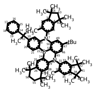 Cc1cc2c(cc1N1c3cc(C(C)(C)c4ccccc4)ccc3B3c4cc5c(cc4N(c4cc6c(cc4C)C(C)(C)CC6(C)C)c4cc(C(C)(C)C)cc1c43)C(C)(C)CCC5(C)C)C(C)(C)CC2(C)C